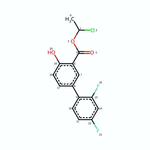 CC(Cl)OC(=O)c1cc(-c2ccc(F)cc2F)ccc1O